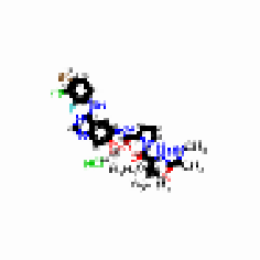 CNC(C)C(=O)NC(C(=O)N1CCCC1C(=O)Nc1cc2c(Nc3ccc(Br)c(Cl)c3F)ncnc2cc1OC)C(C)(C)C.Cl